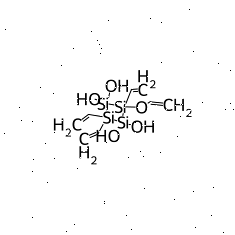 C=CO[Si]1(C=C)[Si](O)(O)[Si](C=C)(C=C)[Si]1(O)O